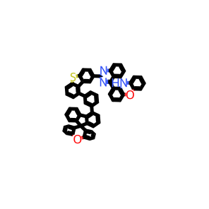 c1cc(-c2cccc3c2-c2ccccc2C32c3ccccc3Oc3ccccc32)cc(-c2cccc3sc4ccc(-c5nc(-c6cccc7c6Nc6ccccc6O7)c6ccccc6n5)cc4c23)c1